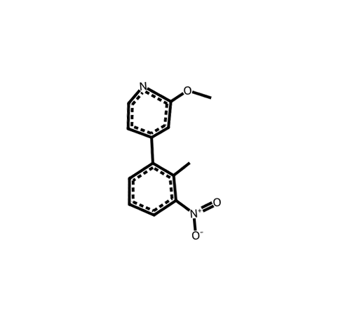 COc1cc(-c2cccc([N+](=O)[O-])c2C)ccn1